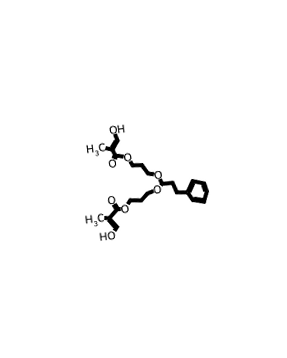 CC(=CO)C(=O)OCCCOC(CCc1ccccc1)OCCCOC(=O)C(C)=CO